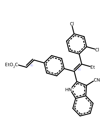 CCOC(=O)/C=C/c1ccc(/C(=C(/CC)c2ccc(Cl)cc2Cl)c2[nH]c3ccccc3c2C#N)cc1